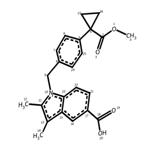 COC(=O)C1(c2ccc(Cn3c(C)c(C)c4cc(C(=O)O)ccc43)cc2)CC1